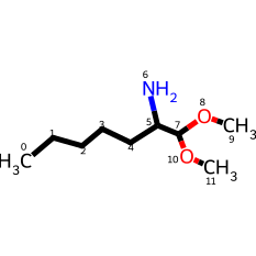 CCCCCC(N)C(OC)OC